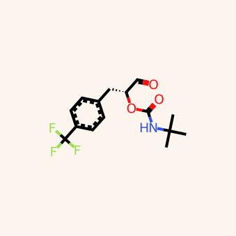 CC(C)(C)NC(=O)O[C@@H](C=O)Cc1ccc(C(F)(F)F)cc1